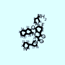 NC1CCN(c2c(F)cc3c(=O)c(C(=O)N4CCC(c5cccnc5)C4)cn4c3c2Oc2cc3ccccc3cc2-4)C1